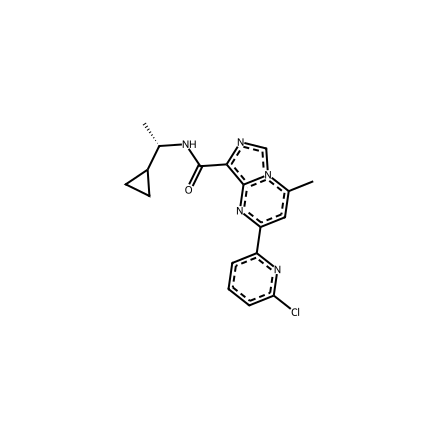 Cc1cc(-c2cccc(Cl)n2)nc2c(C(=O)N[C@@H](C)C3CC3)ncn12